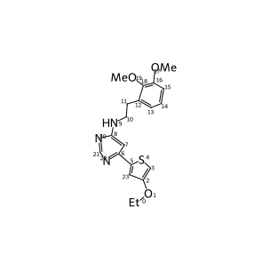 CCOc1csc(-c2cc(NCCc3cccc(OC)c3OC)ncn2)c1